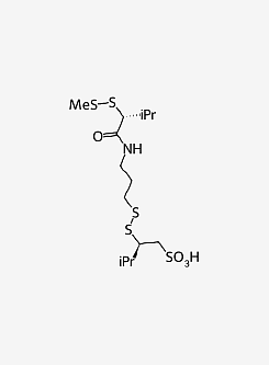 CSS[C@@H](C(=O)NCCCSS[C@@H](CS(=O)(=O)O)C(C)C)C(C)C